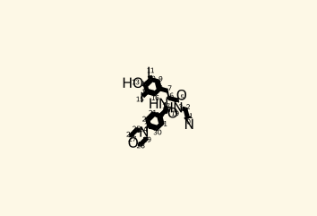 N#CCNC(=O)[C@H](Cc1cc(I)c(O)c(I)c1)NC(=O)c1ccc(N2CCOCC2)cc1